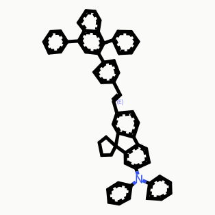 C(=C\c1ccc2c(c1)C1(CCCC1)c1cc(N(c3ccccc3)c3ccccc3)ccc1-2)/c1ccc(-c2cc(-c3ccccc3)c3ccccc3c2-c2ccccc2)cc1